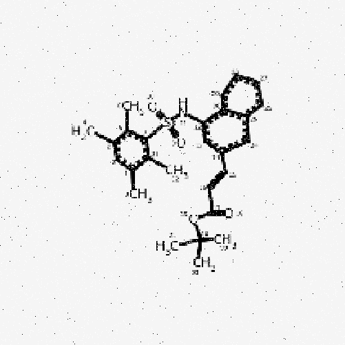 Cc1cc(C)c(C)c(S(=O)(=O)Nc2cc(C=CC(=O)OC(C)(C)C)cc3ccccc23)c1C